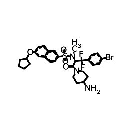 CN([C@@H](C(=O)N1CCC(N)CC1)C(F)(F)c1ccc(Br)cc1)S(=O)(=O)c1ccc2cc(OC3CCCC3)ccc2c1